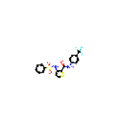 O=C(Nc1ccc(C(F)(F)F)cc1)c1sccc1NS(=O)(=O)c1ccccc1